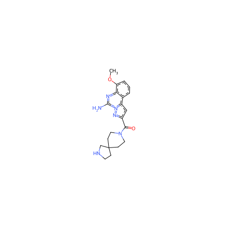 COc1cccc2c1nc(N)n1nc(C(=O)N3CCC4(CCNC4)CC3)cc21